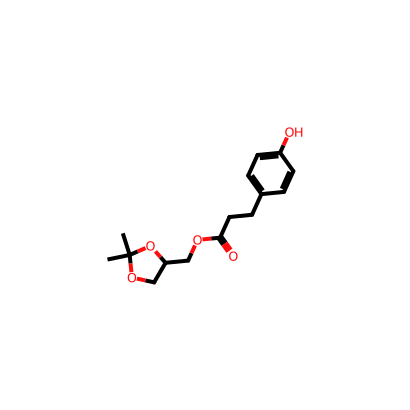 CC1(C)OCC(COC(=O)CCc2ccc(O)cc2)O1